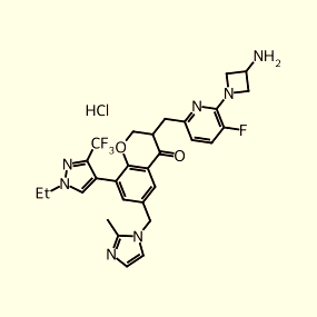 CCn1cc(-c2cc(Cn3ccnc3C)cc3c2OCC(Cc2ccc(F)c(N4CC(N)C4)n2)C3=O)c(C(F)(F)F)n1.Cl